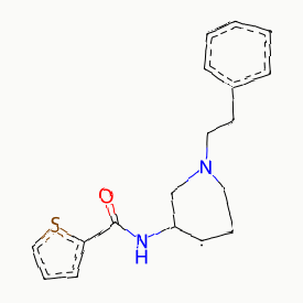 O=C(NC1[CH]CCN(CCc2ccccc2)C1)c1cccs1